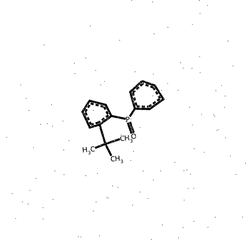 CC(C)(C)c1ccccc1[P](=O)c1ccccc1